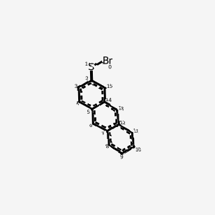 BrSc1ccc2cc3ccccc3cc2c1